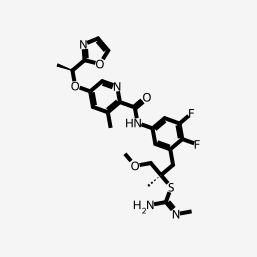 C/N=C(/N)S[C@@](C)(COC)Cc1cc(NC(=O)c2ncc(O[C@@H](C)c3ncco3)cc2C)cc(F)c1F